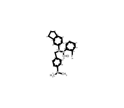 CN(C)c1ccc(CN(c2ccc3c(c2)CCC3)N(C=O)c2ccccc2F)cc1